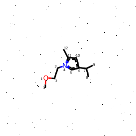 COCCn1cc(C(C)C)cc1C